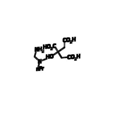 CCCN(C)CN.O=C(O)CC(O)(CC(=O)O)C(=O)O